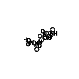 CC(C)(C)OC(=O)N1CCN(C(=O)N2CCC(O)(Cn3cc(S(C)(=N)=O)c(-c4ccccc4)cc3=O)C3(CCCC3)C2)[C@H](c2ccccc2)C1